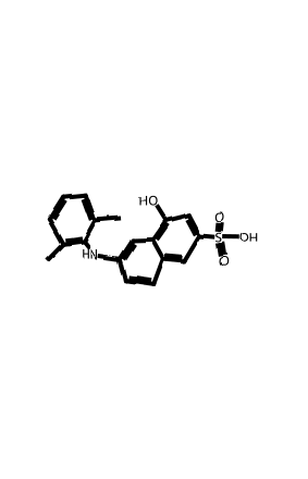 Cc1cccc(C)c1Nc1ccc2cc(S(=O)(=O)O)cc(O)c2c1